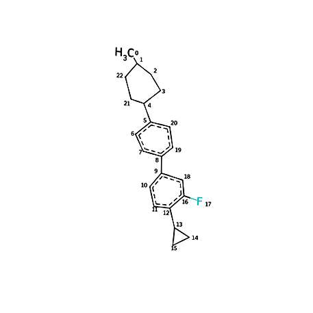 CC1CCC(c2ccc(-c3ccc(C4CC4)c(F)c3)cc2)CC1